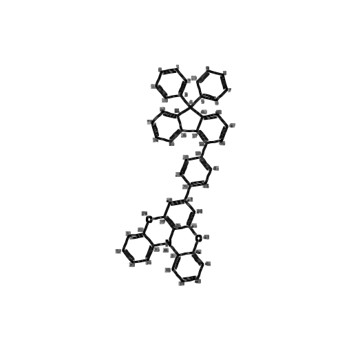 c1ccc(C2(c3ccccc3)c3ccccc3-c3c(-c4ccc(-c5cc6c7c(c5)Oc5ccccc5N7c5ccccc5O6)cc4)cccc32)cc1